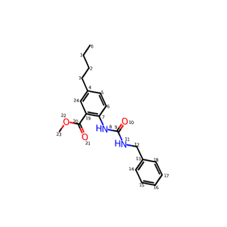 CCCCc1ccc(NC(=O)NCc2ccccc2)c(C(=O)OC)c1